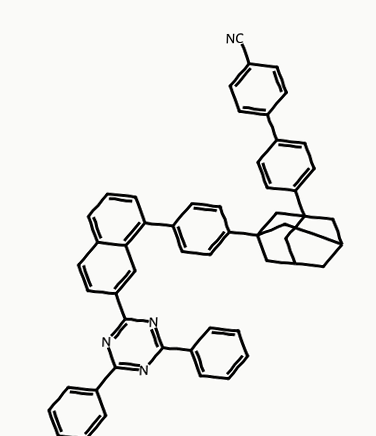 N#Cc1ccc(-c2ccc(C34CC5CC(C3)CC(c3ccc(-c6cccc7ccc(-c8nc(-c9ccccc9)nc(-c9ccccc9)n8)cc67)cc3)(C5)C4)cc2)cc1